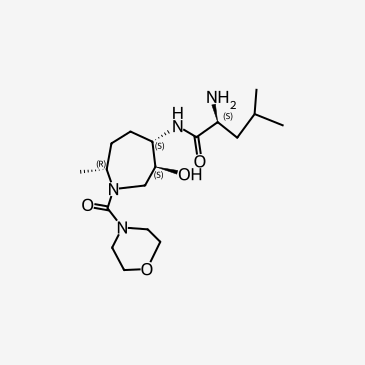 CC(C)C[C@H](N)C(=O)N[C@H]1CC[C@@H](C)N(C(=O)N2CCOCC2)C[C@@H]1O